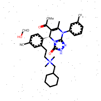 COC(=O)C1=C(C)N(c2cccc(C(F)(F)F)c2)c2n[nH]c(=O)n2[C@@H]1c1ccc(C#N)cc1CC[N+](C)(C)CC1CCCCC1.O=CO